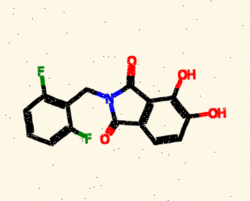 O=C1c2ccc(O)c(O)c2C(=O)N1Cc1c(F)cccc1F